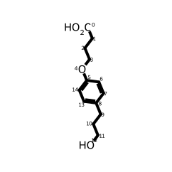 O=C(O)CCCOc1ccc(CCCO)cc1